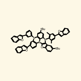 Cc1cc(-c2cc3ccccc3o2)cc(C)c1N1c2cc(C(C)(C)C)cc3c2B(c2ccc(-c4cc5ccccc5o4)cc2N3c2cccc(-c3cc4ccccc4o3)c2)c2oc3ccc(C(C)(C)C)cc3c21